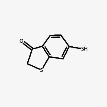 O=C1CSc2cc(S)ccc21